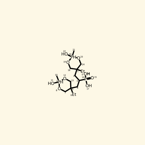 CCC1(CC(CC2(CC)CO[PH](C)(O)OC2)P(=O)(O)O)CO[PH](C)(O)OC1